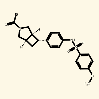 CCC(=O)N1C[C@@H]2C[C@@H](c3ccc(NS(=O)(=O)c4ccc(OC(F)(F)F)cc4)cc3)[C@@H]2C1